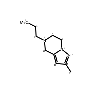 COCCN1CCn2nc(C)cc2C1